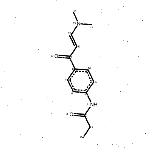 CCC(=O)Nc1ccc(C(=O)/C=C/N(C)C)cc1